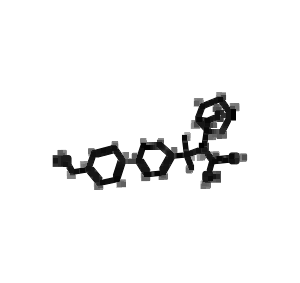 CC(C)(c1ccc(-c2ccc(CO)cc2)cc1)N(C(=O)O)C1CN2CCC1CC2